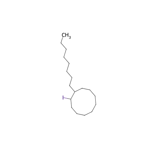 CCCCCCCCC1CCCCCCCCC1I